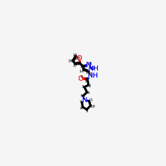 O=C(CCCCN1CCCCC1)Nc1cc(-c2ccco2)n[nH]1